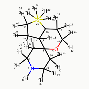 [2H]N1C([2H])([2H])C([2H])([2H])C2(OC([2H])([2H])C([2H])([2H])C3C2([2H])C([2H])([2H])C([2H])([2H])S3([2H])([2H])([2H])[2H])C([2H])([2H])C1([2H])[2H]